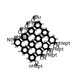 CCCCCCCC1(C#N)CCC(c2ccc(-c3ccc(OCCCC)cc3)cc2)CC1.CCCCCCCC1(C#N)CCC(c2ccc(-c3ccc(OCCCCC)cc3)cc2)CC1.CCCCCCCC1(C#N)CCC(c2ccc(-c3ccc(OCCCCCC)cc3)cc2)CC1.CCCCCCCOc1ccc(-c2ccc(C3CCC(C#N)(CCCCCCC)CC3)cc2)cc1